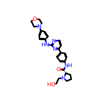 O=C(Nc1ccc(-c2ccnc(Nc3ccc(N4CCOCC4)cc3)n2)cc1)[C@@H]1CCCN1CCO